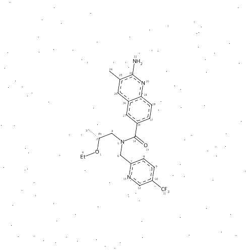 CCO[C@H](C)CN(Cc1ccc(C(F)(F)F)cn1)C(=O)c1ccc2nc(N)c(C)cc2c1